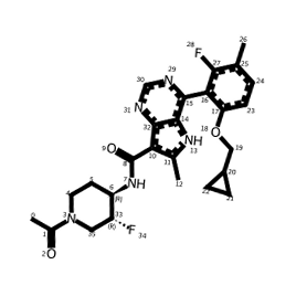 CC(=O)N1CC[C@@H](NC(=O)c2c(C)[nH]c3c(-c4c(OCC5CC5)ccc(C)c4F)ncnc23)[C@H](F)C1